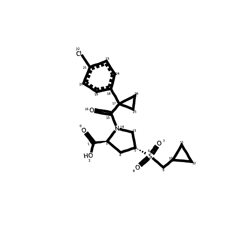 O=C(O)[C@@H]1C[C@@H](S(=O)(=O)CC2CC2)CN1C(=O)C1(c2ccc(Cl)cc2)CC1